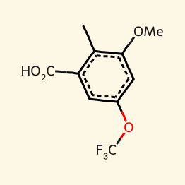 COc1cc(OC(F)(F)F)cc(C(=O)O)c1C